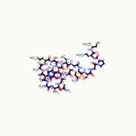 CC(C)C[C@H](NC(=O)[C@H](CCC(=O)O)NC(=O)[C@@H]1CCCN1C(=O)CNC(=O)[C@H](CO)NC(=O)[C@H](CCC(N)=O)NC(=O)[C@H](CCC(N)=O)NC(=O)[C@H](CC(C)C)NC(=O)[C@H](CCC(N)=O)NC(=O)[C@@H](NC(=O)[C@H](CCC(=O)O)NC(=O)[C@H](C)NC(=O)[C@H](C)NC(=O)[C@H](C)NC(=O)[C@H](C)NC(=O)[C@H](CC(N)=O)NC(=O)[C@H](C)NC(=O)[C@H](C)NC(=O)[C@H](C)NC(=O)[C@H](C)N)C(C)C)C(=O)O